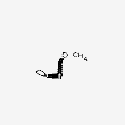 C.[O]=[Ir]=[O]